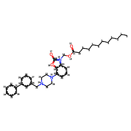 CCCCCCCCCCCC(=O)OCn1c(=O)oc2c(N3CCN(Cc4cccc(-c5ccccc5)c4)CC3)cccc21